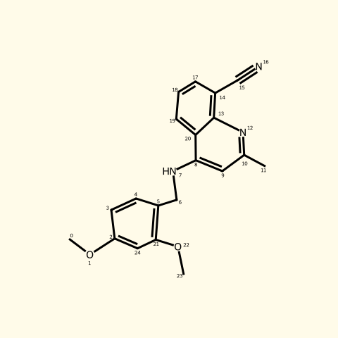 COc1ccc(CNc2cc(C)nc3c(C#N)cccc23)c(OC)c1